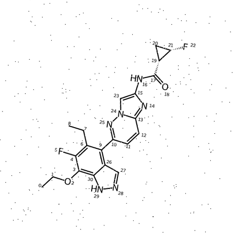 CCOc1c(F)c(CC)c(-c2ccc3nc(NC(=O)[C@@H]4C[C@@H]4F)cn3n2)c2cn[nH]c12